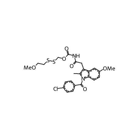 COCCSSCOC(=O)NC(=O)Cc1c(C)n(C(=O)c2ccc(Cl)cc2)c2ccc(OC)cc12